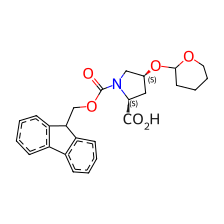 O=C(O)[C@@H]1C[C@H](OC2CCCCO2)CN1C(=O)OCC1c2ccccc2-c2ccccc21